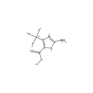 CCC(=O)c1sc(N)nc1C(F)(F)F